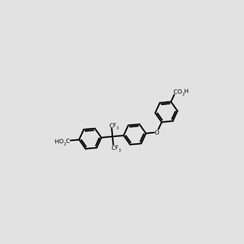 O=C(O)c1ccc(Oc2ccc(C(c3ccc(C(=O)O)cc3)(C(F)(F)F)C(F)(F)F)cc2)cc1